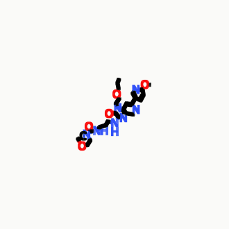 CCCOCCn1c(=O)c(NCCCNC(=O)N2CCOCC2)nc2cnc(-c3ccc(OC)nc3)cc21